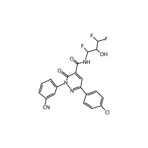 N#Cc1cccc(-n2nc(-c3ccc(Cl)cc3)cc(C(=O)NC(F)C(O)C(F)F)c2=O)c1